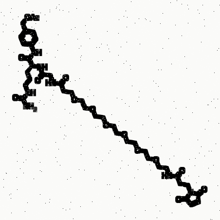 CC(=O)OCc1ccc(NC(=O)[C@H](CCCNC(N)=O)NC(=O)CNC(=O)CCOCCOCCOCCOCCOCCOCCNC(=O)CCN2C(=O)C=CC2=O)cc1